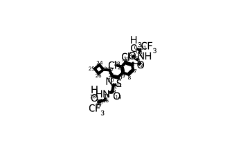 C[C@H](NS(=O)(=O)c1ccc(-c2sc(C(=O)NC[C@@H](O)C(F)(F)F)nc2CC2CCC2)c(Cl)c1Cl)C(F)(F)F